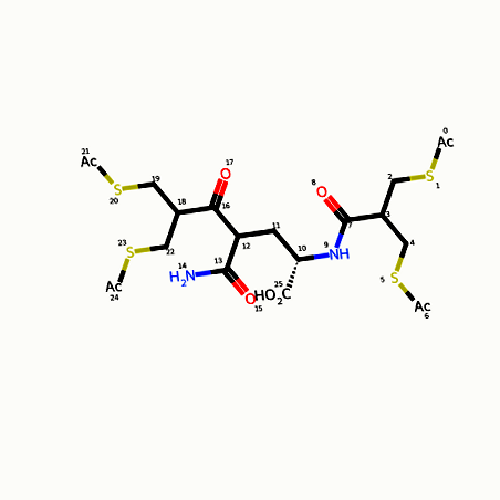 CC(=O)SCC(CSC(C)=O)C(=O)N[C@@H](CC(C(N)=O)C(=O)C(CSC(C)=O)CSC(C)=O)C(=O)O